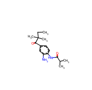 CCC(C)(C)C(=O)c1ccc(NC(=O)C(C)C)c(N)c1